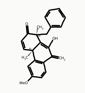 C=C1C(O)=C2[C@](C)(Cc3ccccc3)C(=O)C=C[C@]2(C)c2cc(OC)ccc21